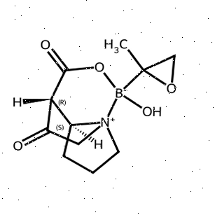 CC1([B-]2(O)OC(=O)[C@H]3C(=O)C[N+]24CCC[C@@H]34)CO1